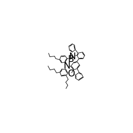 CCCCc1cc(CCCC)cc(N2c3cc(CCCC)ccc3B3c4c(cc5c(oc6ccccc65)c42)-c2cccc4c5ccccc5n3c24)c1